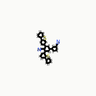 N#Cc1cccc(-c2cc(-c3ccc4c(c3)sc3ccccc34)c(C#N)c(-c3cccc4c3sc3ccccc34)c2)c1